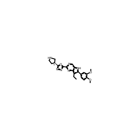 CCc1c(-c2ccc(OC)c(OC)c2)[nH]c2cnc(-c3nnc([C@H]4CCNC4)o3)nc12